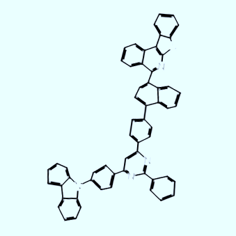 c1ccc(-c2nc(-c3ccc(-c4ccc(-c5nc6sc7ccccc7c6c6ccccc56)c5ccccc45)cc3)cc(-c3ccc(-n4c5ccccc5c5ccccc54)cc3)n2)cc1